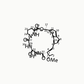 CO[C@@H](C)[C@H]1/C=C/c2ccc3ccc(nc3c2)[C@@H](C)OC(=O)[C@@H]2CCCN(N2)C(=O)[C@@H](C)NC(=O)[C@H](C(C)C)NC1=O